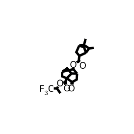 CC1C2CC(C(=O)OC3C4CC5C3CC(=O)C5(C(=O)OC(C)C(F)(F)F)C4)C(C2)C1C